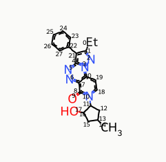 CCc1nn2c(nnc3c(=O)n(C4CC(C)CC4O)ccc32)c1-c1ccccc1